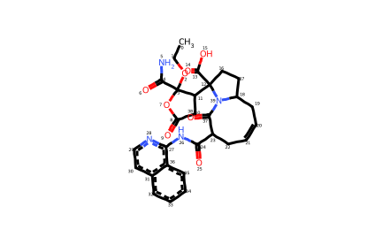 CCOC1(C(N)=O)OC(=O)CC1C1(C(=O)O)CCC2CC=CCC(C(=O)Nc3nccc4ccccc34)C(=O)N21